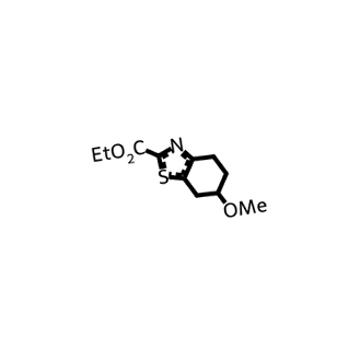 CCOC(=O)c1nc2c(s1)CC(OC)CC2